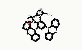 Cc1nnc2c3nnc(C)n3c3c(N4c5ccccc5Oc5ccccc54)cc(N4c5ccccc5Oc5ccccc54)cc3n12